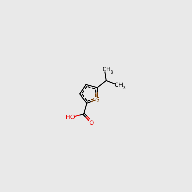 CC(C)c1ccc(C(=O)O)s1